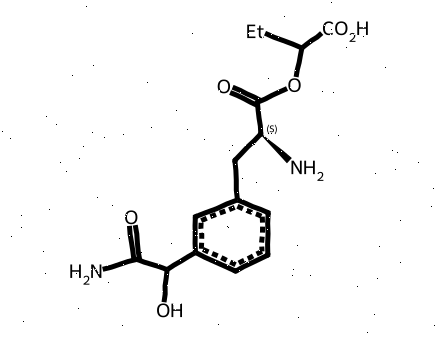 CCC(OC(=O)[C@@H](N)Cc1cccc(C(O)C(N)=O)c1)C(=O)O